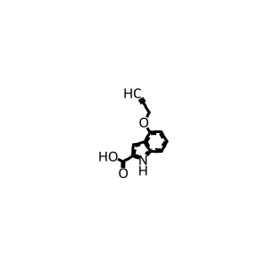 C#CCOc1cccc2[nH]c(C(=O)O)cc12